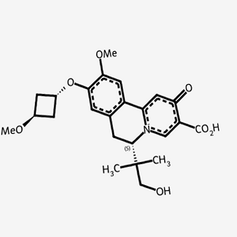 COc1cc2c(cc1O[C@H]1C[C@H](OC)C1)C[C@@H](C(C)(C)CO)n1cc(C(=O)O)c(=O)cc1-2